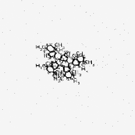 CC(C)c1cc2c3c(c1)N(c1ccc4c(c1)C(C)(C)CCC4(C)C)c1cc4c(cc1B3c1cc3c(cc1C2c1ccc2c(c1)C(C)(C)CCC2(C)C)C(C)(C)CCC3(C)C)C(C)(C)CCC4(C)C